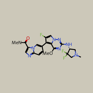 CNC(=O)c1cnc2ccc(-c3c(F)cn4nc(N[C@@H]5CN(C)CC5(F)F)nc(OC)c34)cn12